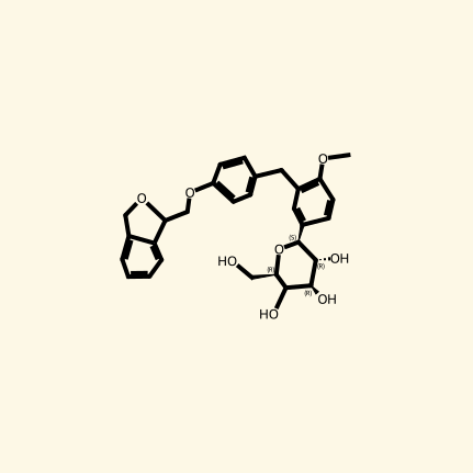 COc1ccc([C@@H]2O[C@H](CO)C(O)[C@H](O)[C@H]2O)cc1Cc1ccc(OCC2OCc3ccccc32)cc1